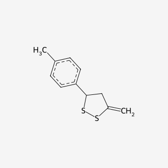 C=C1CC(c2ccc(C)cc2)SS1